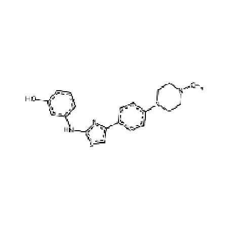 CN1CCN(c2ccc(-c3csc(Nc4cccc(O)c4)n3)cc2)CC1